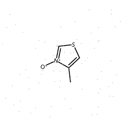 Cc1cs[c][n+]1[O-]